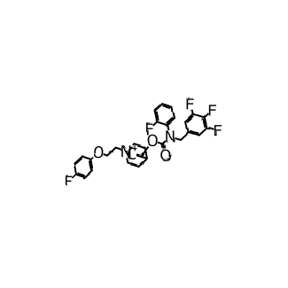 O=C(OC1C[N+]2(CCOc3ccc(F)cc3)CCC1CC2)N(Cc1cc(F)c(F)c(F)c1)c1ccccc1F